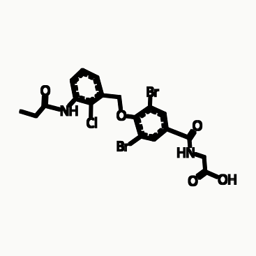 CCC(=O)Nc1cccc(COc2c(Br)cc(C(=O)NCC(=O)O)cc2Br)c1Cl